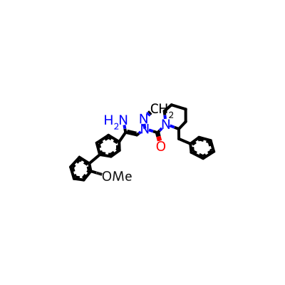 C=NN(/C=C(\N)c1ccc(-c2ccccc2OC)cc1)C(=O)N1CCCCC1Cc1ccccc1